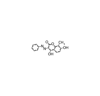 Cc1c(O)ccc2c(O)c(N=Nc3ccccc3)c(=O)oc12